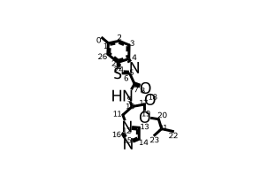 Cc1ccc2nc(C(=O)NC(Cn3ccnc3)C(=O)OCC(C)C)sc2c1